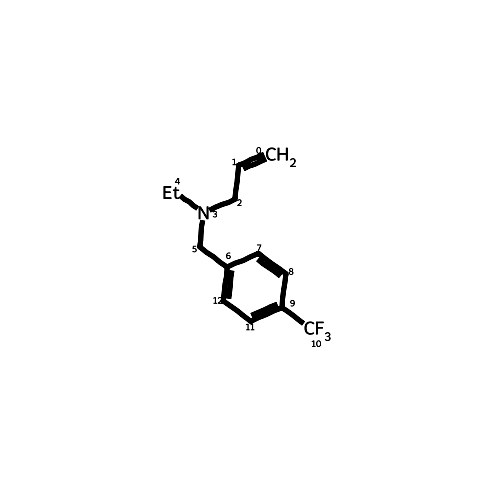 C=CCN(CC)Cc1ccc(C(F)(F)F)cc1